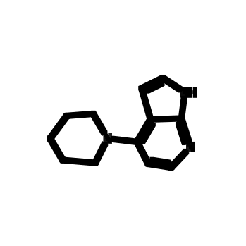 c1cc(N2CCCCC2)c2cc[nH]c2n1